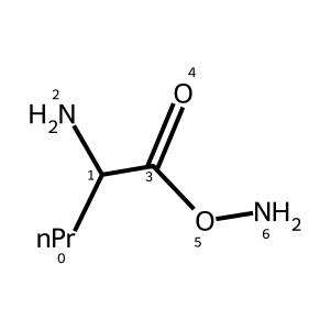 CCCC(N)C(=O)ON